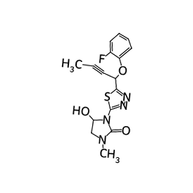 CC#CC(Oc1ccccc1F)c1nnc(N2C(=O)N(C)CC2O)s1